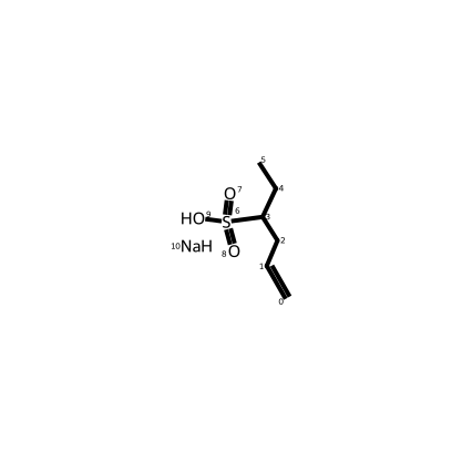 C=CCC(CC)S(=O)(=O)O.[NaH]